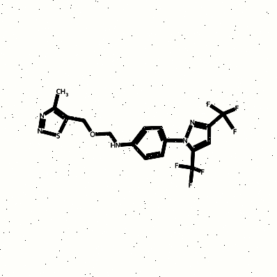 Cc1nnsc1COCNc1ccc(-n2nc(C(F)(F)F)cc2C(F)(F)F)cc1